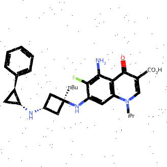 CCCC[C@]1(Nc2cc3c(c(N)c2F)c(=O)c(C(=O)O)cn3C(C)C)C[C@H](N[C@@H]2C[C@H]2c2ccccc2)C1